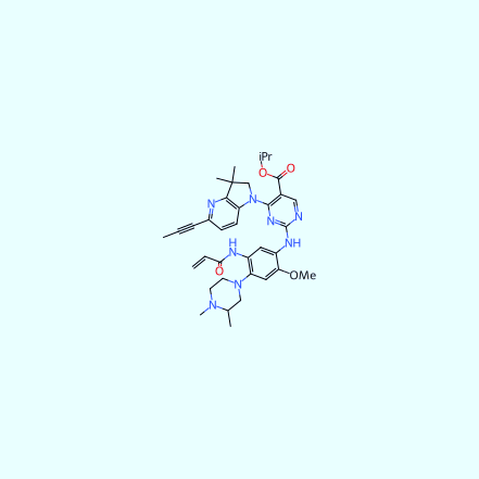 C=CC(=O)Nc1cc(Nc2ncc(C(=O)OC(C)C)c(N3CC(C)(C)c4nc(C#CC)ccc43)n2)c(OC)cc1N1CCN(C)C(C)C1